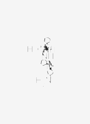 C[C@@H](CNc1cccc2c1cnn2-c1ccc(CN)cc1)NS(=O)(=O)c1ccccc1